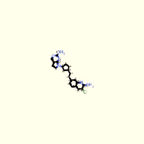 Nc1ncc2ccn(C3CCC(CCc4ccc5cc(Cl)c(N)nc5c4)C3)c2n1